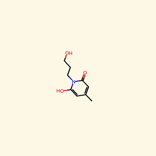 Cc1cc(O)n(CCCO)c(=O)c1